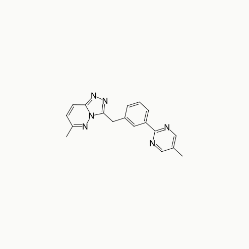 Cc1cnc(-c2cccc(Cc3nnc4ccc(C)nn34)c2)nc1